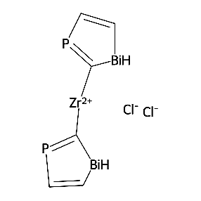 C1=[CH][BiH][C]([Zr+2][C]2=PC=[CH][BiH]2)=P1.[Cl-].[Cl-]